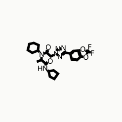 CC(C(=O)NC1CCCC1)N(C(=O)Cn1nnc(-c2ccc3c(c2)OC(F)(F)O3)n1)C1CCCCC1